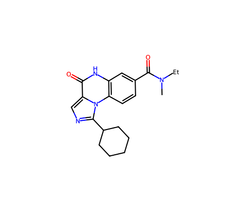 CCN(C)C(=O)c1ccc2c(c1)[nH]c(=O)c1cnc(C3CCCCC3)n12